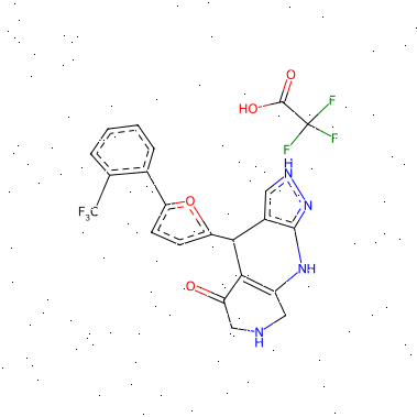 O=C(O)C(F)(F)F.O=C1CNCC2=C1C(c1ccc(-c3ccccc3C(F)(F)F)o1)c1c[nH]nc1N2